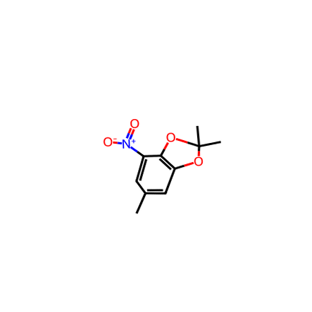 Cc1cc2c(c([N+](=O)[O-])c1)OC(C)(C)O2